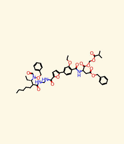 CCCCCC(C(=O)NCNC(=O)c1ccc(-c2ccc(C(=O)NC(CC(=O)OCc3ccccc3)C(=O)OCOC(=O)C(C)C)c(OCC)c2)o1)[C@@H](CC)N(C=O)OCc1ccccc1